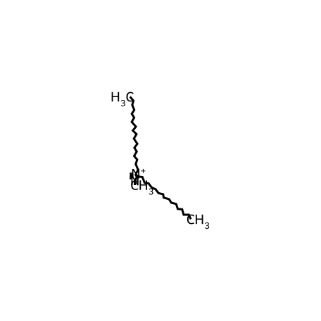 CCCCCCCCCCCCCCCCCC[n+]1ccn(C)c1CCCCCCCCCCCCCCCC